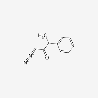 CC(C(=O)C=[N+]=[N-])c1ccccc1